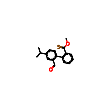 COC(=S)c1ccccc1-c1ccc(C(C)C)cc1C=O